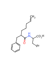 C=CCCCC(Cc1ccccc1)C(=O)NC(CC(C)C)C(=O)O